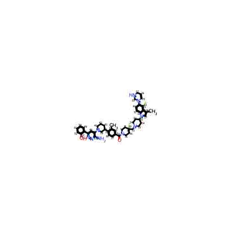 Cc1cc(C(=O)N2CCC(F)(CN3CCC(n4cc(C)c5c(F)c(N6C=CCNC6)ccc54)CC3)CC2)ccc1C1CCCN(c2cc(-c3ccccc3O)nnc2N)C1